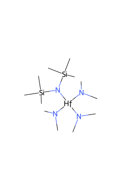 C[N](C)[Hf]([N](C)C)([N](C)C)[N]([Si](C)(C)C)[Si](C)(C)C